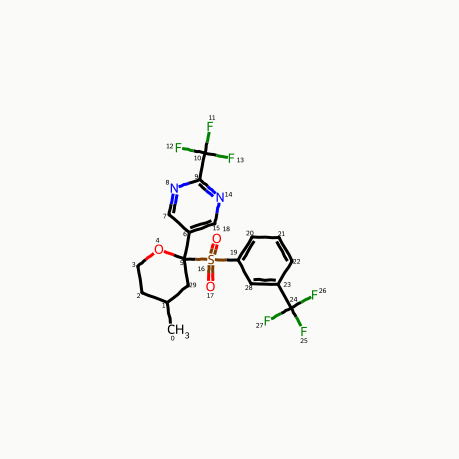 CC1CCOC(c2cnc(C(F)(F)F)nc2)(S(=O)(=O)c2cccc(C(F)(F)F)c2)C1